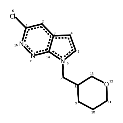 Clc1cc2ccn(CC3CCCOC3)c2nn1